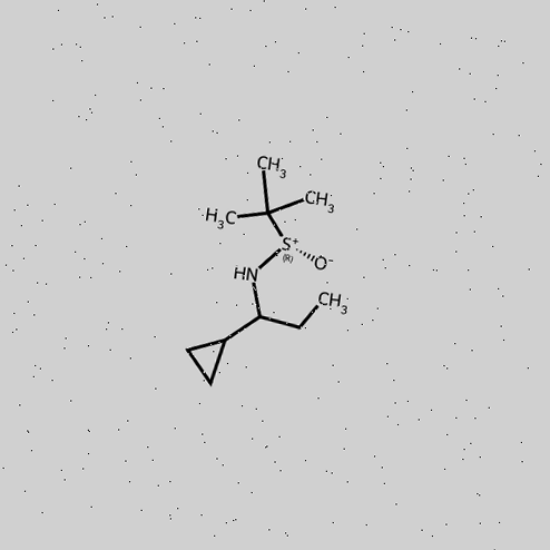 CCC(N[S@@+]([O-])C(C)(C)C)C1CC1